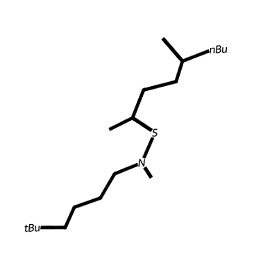 CCCCC(C)CCC(C)SN(C)CCCCC(C)(C)C